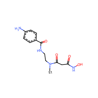 CCN(CCNC(=O)c1ccc(N)cc1)C(=O)CC(=O)NO